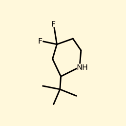 CC(C)(C)C1CC(F)(F)CCN1